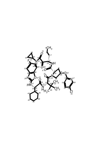 CCC[C@H](NC(=O)[C@@H]1C[C@@H](Oc2ccc(Cl)cn2)CN1C(=O)[C@@H](NC(=O)[C@@H](Nc1nc2cc(F)ccc2o1)C1CCCCC1)C(C)(C)C)C(=O)C(=O)NC1CC1